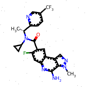 C[C@H](c1ccc(C(F)(F)F)cn1)N(C(=O)c1cc2c(cc1F)nc(N)c1c2cnn1C)C1CC1